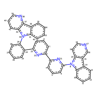 c1cc(-c2cccc(-n3c4ccccc4c4cnccc43)n2)nc(-c2ccccc2-n2c3ccccc3c3ncccc32)c1